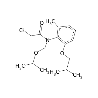 Cc1cccc(OCC(C)C)c1N(COC(C)C)C(=O)CCl